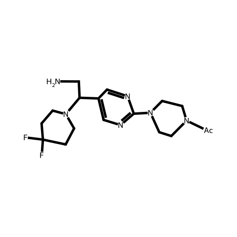 CC(=O)N1CCN(c2ncc(C(CN)N3CCC(F)(F)CC3)cn2)CC1